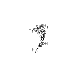 C=CCOCC(O)COC(=O)CC1=CSC(=C2C(=O)C(CC)C(=S)C(CC)C2=O)S1